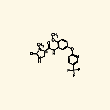 COc1ccc(Oc2ccc(C(F)(F)F)cn2)cc1NC(=O)[C@H]1CNC(=O)N1C